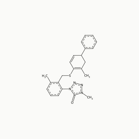 CC1=C(SCc2c(C)cccc2-n2nnn(C)c2=O)C=CC(c2ccccc2)C1